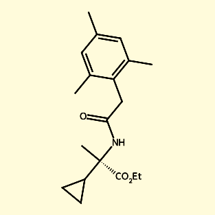 CCOC(=O)[C@](C)(NC(=O)Cc1c(C)cc(C)cc1C)C1CC1